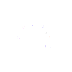 CCCCc1c2c(cc(C(=O)c3ncccc3-c3ccccc3)c1N1CCCCC1N)-c1ccccc1C2C(=O)NCC(F)(F)F